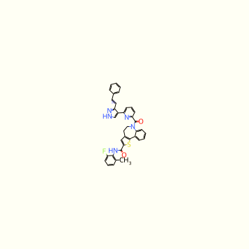 Cc1cccc(F)c1NC(=O)c1cc2c(s1)-c1ccccc1N(C(=O)c1cccc(-c3c[nH]nc3/C=C/c3ccccc3)n1)CC2